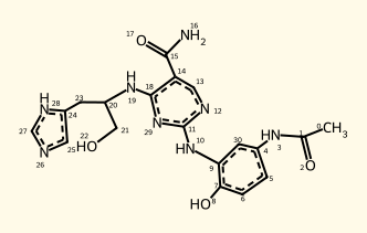 CC(=O)Nc1ccc(O)c(Nc2ncc(C(N)=O)c(NC(CO)Cc3cnc[nH]3)n2)c1